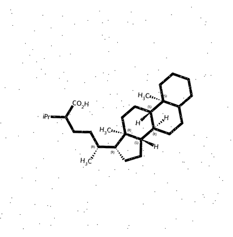 CC(C)C(CC[C@@H](C)[C@H]1CC[C@H]2[C@@H]3CCC4CCCC[C@]4(C)[C@H]3CC[C@]12C)C(=O)O